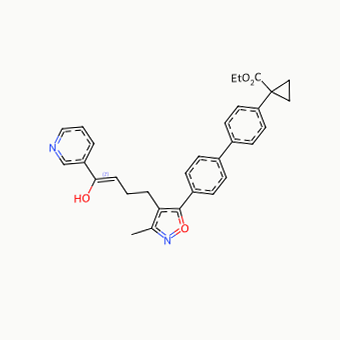 CCOC(=O)C1(c2ccc(-c3ccc(-c4onc(C)c4CC/C=C(\O)c4cccnc4)cc3)cc2)CC1